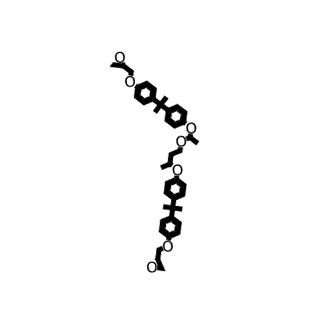 CC(CCOC(C)Oc1ccc(C(C)(C)c2ccc(OCC3CO3)cc2)cc1)Oc1ccc(C(C)(C)c2ccc(OCC3CO3)cc2)cc1